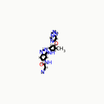 Cc1cc(Nc2ncnc3ccc(NC(=O)CC#N)cc23)ccc1Oc1cc2nncn2cn1